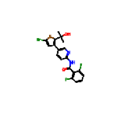 CC(C)(O)c1sc(Br)cc1-c1ccc(NC(=O)c2c(F)cccc2F)nc1